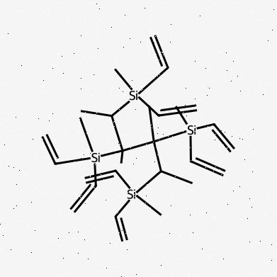 C=C[Si](C)(C=C)C(C)C(C)(C(C)(C(C)[Si](C)(C=C)C=C)[Si](C)(C=C)C=C)[Si](C)(C=C)C=C